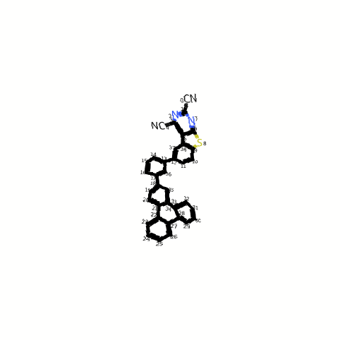 N#Cc1nc(C#N)c2c(n1)sc1ccc(-c3cccc(-c4ccc5c6ccccc6c6ccccc6c5c4)c3)cc12